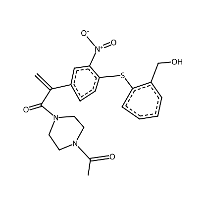 C=C(C(=O)N1CCN(C(C)=O)CC1)c1ccc(Sc2ccccc2CO)c([N+](=O)[O-])c1